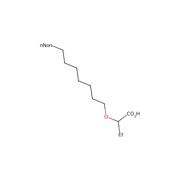 CCCCCCCCCCCCCCCCOC(CC)C(=O)O